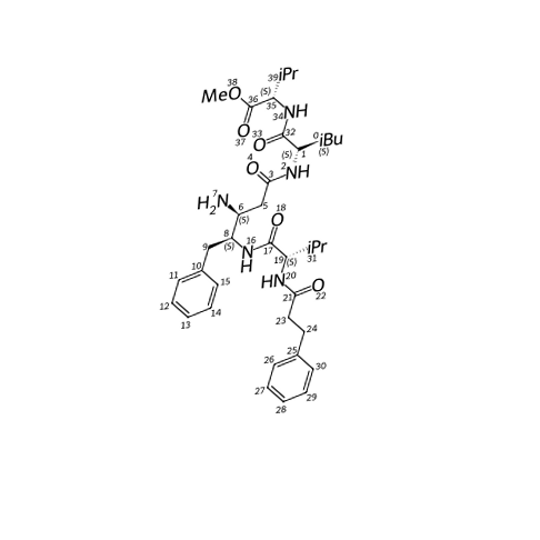 CC[C@H](C)[C@H](NC(=O)C[C@H](N)[C@H](Cc1ccccc1)NC(=O)[C@@H](NC(=O)CCc1ccccc1)C(C)C)C(=O)N[C@H](C(=O)OC)C(C)C